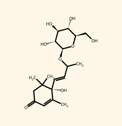 CC1=CC(=O)CC(C)(C)[C@@]1(O)C=CC(C)O[C@@H]1O[C@H](CO)[C@@H](O)[C@H](O)[C@H]1O